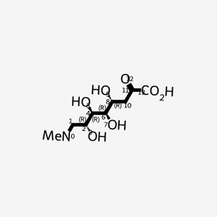 CNC[C@@H](O)[C@@H](O)[C@H](O)[C@H](O)CC(=O)C(=O)O